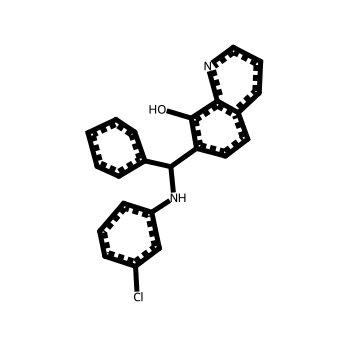 Oc1c(C(Nc2cccc(Cl)c2)c2ccccc2)ccc2cccnc12